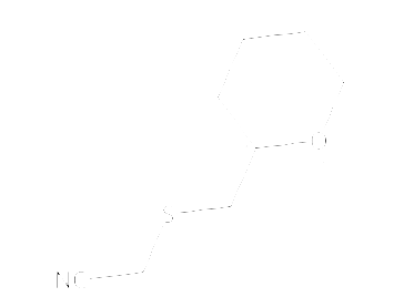 N#CCSCC1CCCCO1